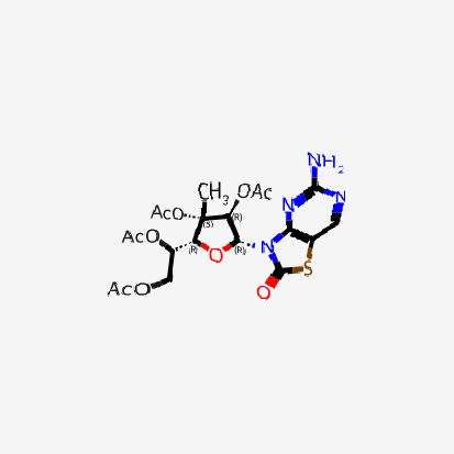 CC(=O)OCC(OC(C)=O)[C@H]1O[C@@H](n2c(=O)sc3cnc(N)nc32)[C@H](OC(C)=O)[C@@]1(C)OC(C)=O